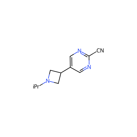 CC(C)N1CC(c2cnc(C#N)nc2)C1